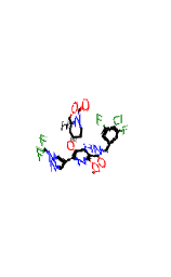 COc1nc(-c2cnn(C(F)F)c2)c(O[C@H]2CCN3C(=O)OC[C@@H]3C2)cc1C(=O)NCc1cc(F)c(Cl)c(F)c1